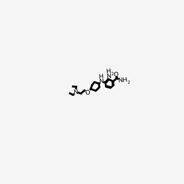 CCN(CC)CCOC1CCC(Nc2cccc(C(N)=O)c2N)CC1